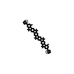 Cc1cc(-c2ccco2)cc2c1-c1cc3c(cc1C2(C)C)-c1cc2c(cc1C3(C)C)-c1cc3c(cc1C2(C)C)-c1cc2c(cc1C3(C)C)-c1c(C)cc(-c3ccco3)cc1C2(C)C